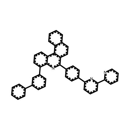 c1ccc(-c2cccc(-c3cccc4c3nc(-c3ccc(-c5cccc(-c6ccccn6)n5)cc3)c3ccc5ccccc5c34)c2)cc1